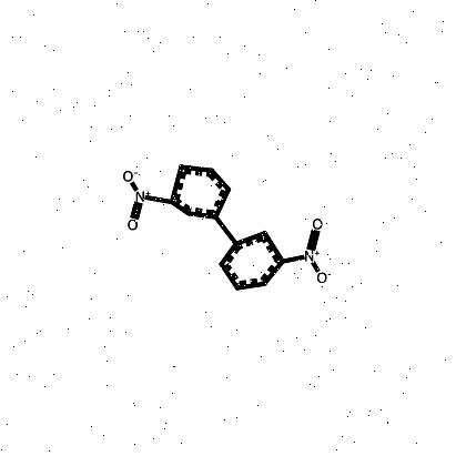 O=[N+]([O-])c1cccc(-c2cccc([N+](=O)[O-])c2)c1